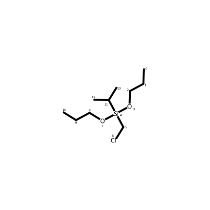 CCCO[Si](CCl)(OCCC)C(C)C